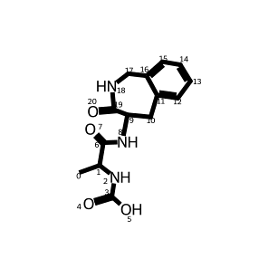 CC(NC(=O)O)C(=O)NC1Cc2ccccc2CNC1=O